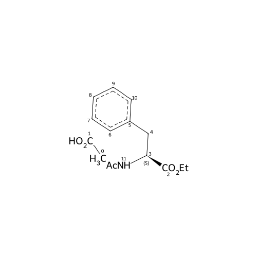 CC(=O)O.CCOC(=O)[C@H](Cc1ccccc1)NC(C)=O